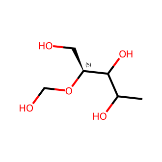 CC(O)C(O)[C@H](CO)OCO